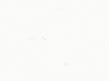 CC1CC(CO)(NCCCS(=O)(=O)O)CO1